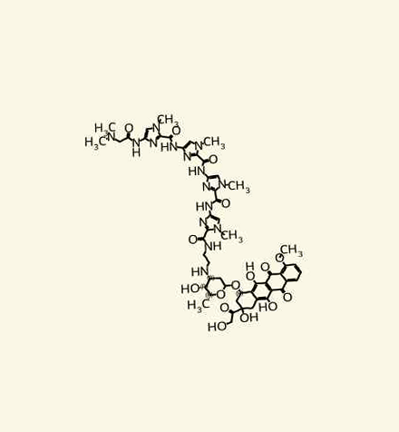 COc1cccc2c1C(=O)c1c(O)c3c(c(O)c1C2=O)CC(O)(C(=O)CO)C[C@H]3OC1C[C@@H](NCCNC(=O)c2nc(NC(=O)c3nc(NC(=O)c4nc(NC(=O)c5nc(NC(=O)CN(C)C)cn5C)cn4C)cn3C)cn2C)[C@@H](O)[C@@H](C)O1